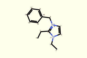 CCc1n(CC)cc[n+]1Cc1ccccc1